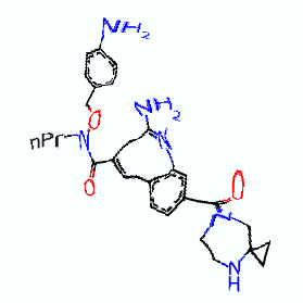 CCCN(OCc1ccc(N)cc1)C(=O)C1=Cc2ccc(C(=O)N3CCNC4(CC4)C3)cc2N=C(N)C1